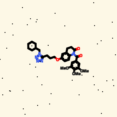 COc1cc(C(=O)N2C(=O)CCc3cc(OCCCc4nnnn4CC4CCCCC4)ccc32)cc(OC)c1OC